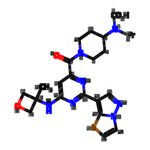 CC(C)N(C(=O)O)C1CCN(C(=O)c2cc(NC3(C)COC3)nc(-c3cnn4ccsc34)n2)CC1